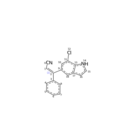 N#C/C=C(/c1ccccc1)c1cc(Cl)c2[nH]ccc2c1